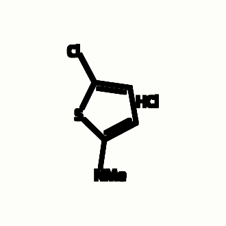 CNc1ccc(Cl)s1.Cl